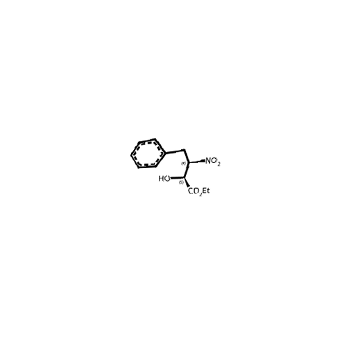 CCOC(=O)[C@@H](O)[C@@H](Cc1ccccc1)[N+](=O)[O-]